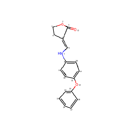 O=C1OCCC1=CNc1ccc(Oc2ccccc2)cc1